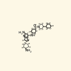 Nc1cc(Nc2ccc(C(=O)N3CCC(c4ccccc4)CC3)cc2)c2nc([C@H]3CC[C@H](N)CC3)cn2n1